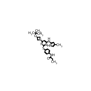 CCC(=O)Nc1ccc(Sc2nc(Nc3cc(C)c[nH]3)cc(N3CC(OC(C)(C)C)C3)n2)cc1